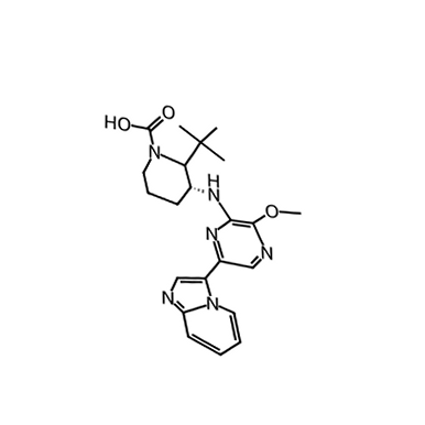 COc1ncc(-c2cnc3ccccn23)nc1N[C@@H]1CCCN(C(=O)O)C1C(C)(C)C